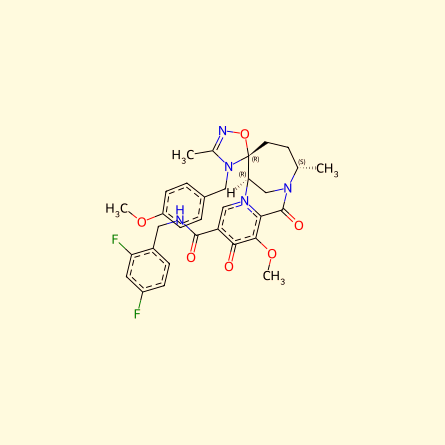 COc1ccc(CN2C(C)=NO[C@@]23CC[C@H](C)N2C[C@H]3n3cc(C(=O)NCc4ccc(F)cc4F)c(=O)c(OC)c3C2=O)cc1